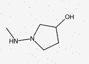 CNN1CCC(O)C1